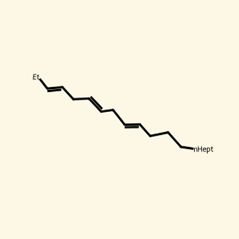 [CH2]CCCCCCCCCC=CCC=CCC=CCC